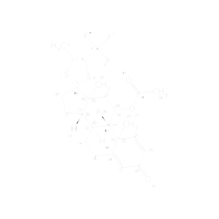 CCS[C@@]1(SCC(F)(F)F)CC[C@H]2[C@@H]3CCC4=CC(=O)C=C[C@]4(C)[C@@]3(F)[C@@H](OC(C)=O)C[C@@]21C